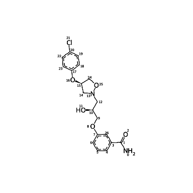 NC(=O)c1cccc(OC[C@@H](O)CN2C[C@@H](Oc3ccc(Cl)cc3)CO2)c1